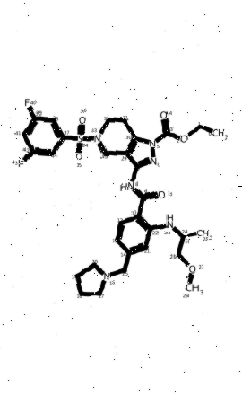 CCOC(=O)n1nc(NC(=O)c2ccc(CN3CCCC3)cc2N[C@@H](C)COC)c2c1CCN(S(=O)(=O)c1cc(F)cc(F)c1)C2